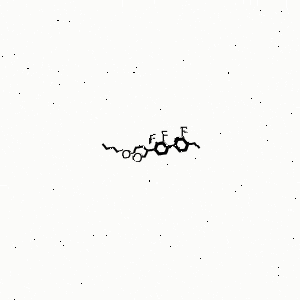 CCCCCOC1CCC(c2ccc(-c3ccc(CC)c(F)c3)c(F)c2F)CO1